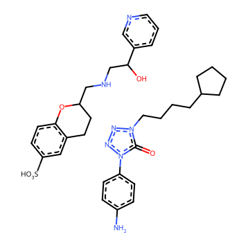 Nc1ccc(-n2nnn(CCCCC3CCCC3)c2=O)cc1.O=S(=O)(O)c1ccc2c(c1)CCC(CNCC(O)c1cccnc1)O2